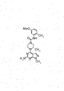 COc1ccc(C)c(NC(=O)N2CCN(c3nc(N)nc4c3cnn4C)[C@@H](C)C2)c1